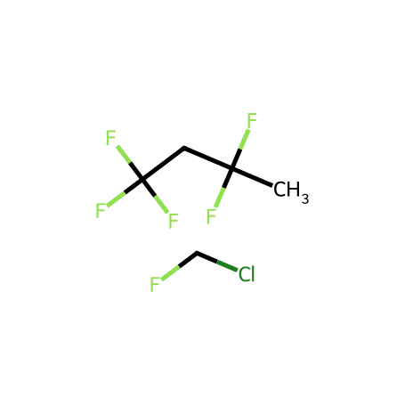 CC(F)(F)CC(F)(F)F.FCCl